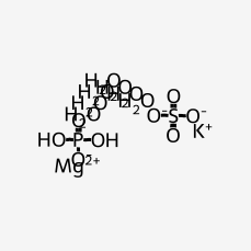 O.O.O.O.O.O.O.O=P([O-])(O)O.O=S(=O)([O-])[O-].[K+].[Mg+2]